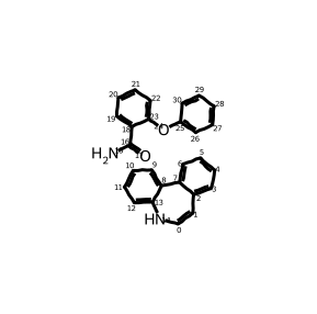 C1=Cc2ccccc2-c2ccccc2N1.NC(=O)c1ccccc1Oc1ccccc1